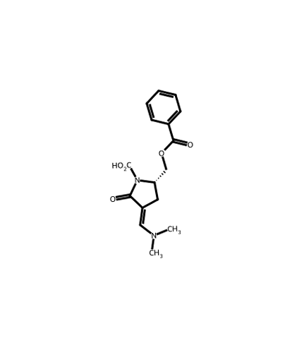 CN(C)/C=C1\C[C@@H](COC(=O)c2ccccc2)N(C(=O)O)C1=O